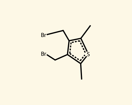 Cc1sc(C)c(CBr)c1CBr